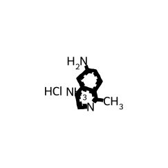 Cc1nccc2cc(N)ccc12.Cl.N